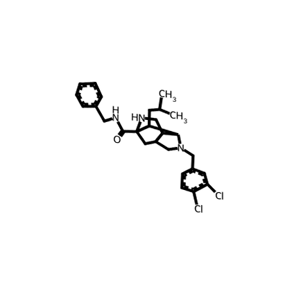 CC(C)CC1C2C3CNC1(C(=O)NCc1ccccc1)CC3CN2Cc1ccc(Cl)c(Cl)c1